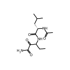 CCC(NC(=O)[C@H](CC(C)C)NC(C)=O)C(=O)C(N)=O